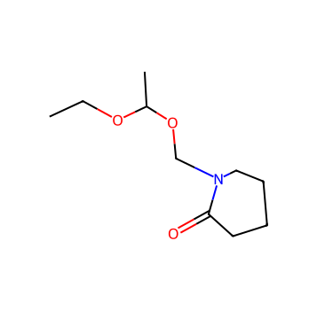 CCOC(C)OCN1CCCCC1=O